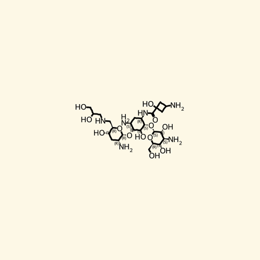 NC1CC(O)(C(=O)N[C@@H]2C[C@H](N)[C@@H](O[C@H]3O[C@H](CNCC(O)CO)[C@@H](O)C[C@H]3N)[C@H](O)[C@H]2O[C@H]2O[C@H](CO)[C@@H](O)[C@H](N)[C@H]2O)C1